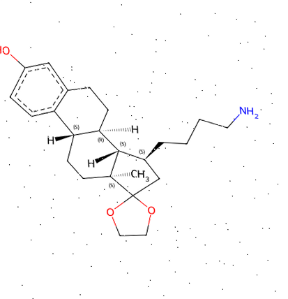 C[C@]12CC[C@@H]3c4ccc(O)cc4CC[C@H]3[C@@H]1[C@@H](CCCCN)CC21OCCO1